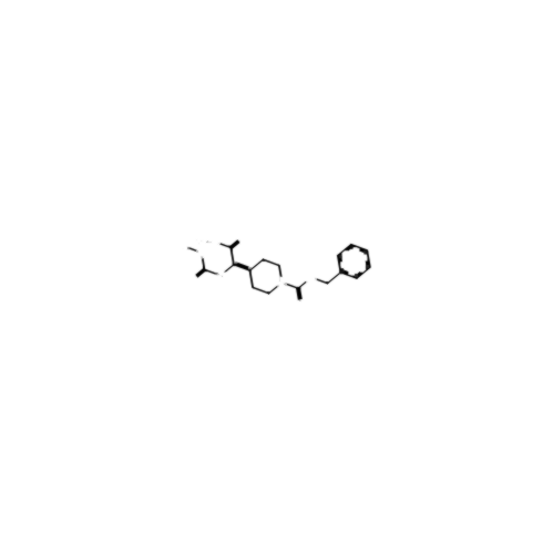 COC(=O)C(NC(=O)OC(C)(C)C)=C1CCN(C(=O)OCc2ccccc2)CC1